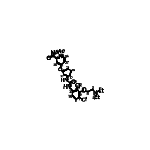 CCN(CC)CCOc1c(Cl)ccc(NC(=O)Nc2cccc(Oc3ccnc(C(=O)NC)c3)c2)c1C(F)(F)F